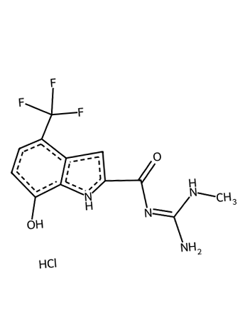 CNC(N)=NC(=O)c1cc2c(C(F)(F)F)ccc(O)c2[nH]1.Cl